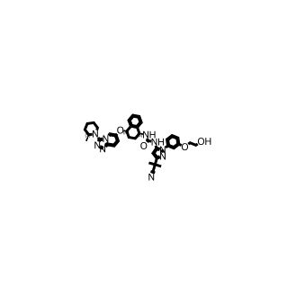 C[C@H]1CCCCN1c1nnc2ccc(O[C@@H]3CC[C@H](NC(=O)Nc4cc(C(C)(C)C#N)nn4-c4cccc(OCCO)c4)c4ccccc43)cn12